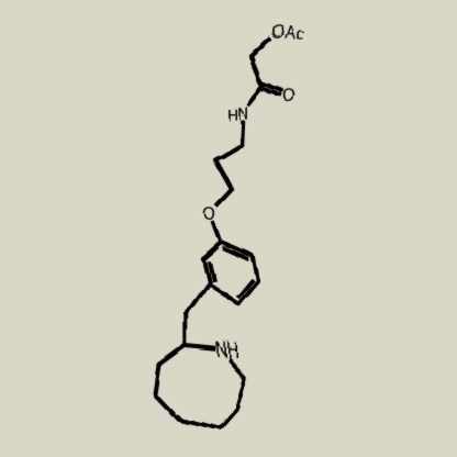 CC(=O)OCC(=O)NCCCOc1cccc(CC2CCCCCCN2)c1